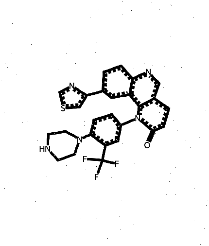 O=c1ccc2cnc3ccc(-c4cscn4)cc3c2n1-c1ccc(N2CCNCC2)c(C(F)(F)F)c1